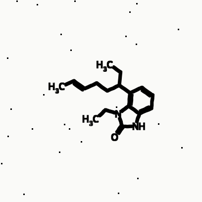 CC=CCCC(CC)c1cccc2[nH]c(=O)n(CC)c12